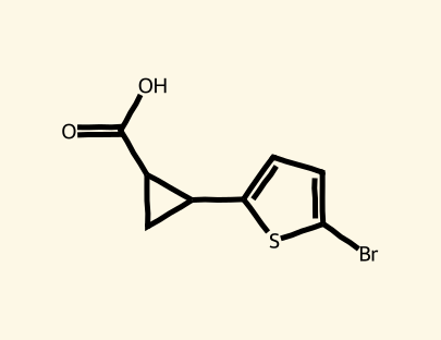 O=C(O)C1CC1c1ccc(Br)s1